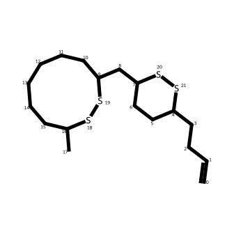 C=CCCC1CCC(CC2CCCCCCC(C)SS2)SS1